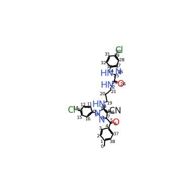 Cc1ccc(C(=O)c2nn(-c3ccc(Cl)cc3)c(NCCCNC(=O)c3nc4cc(Cl)ccc4[nH]3)c2C#N)cc1